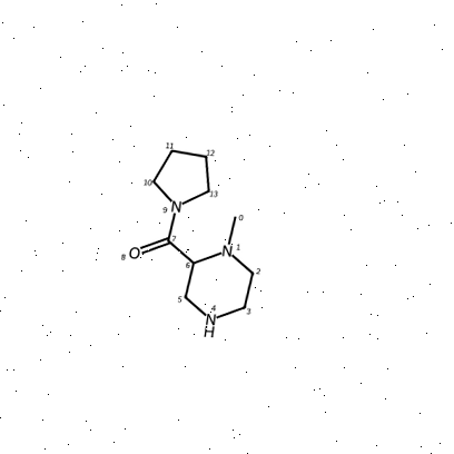 CN1CCNCC1C(=O)N1CCCC1